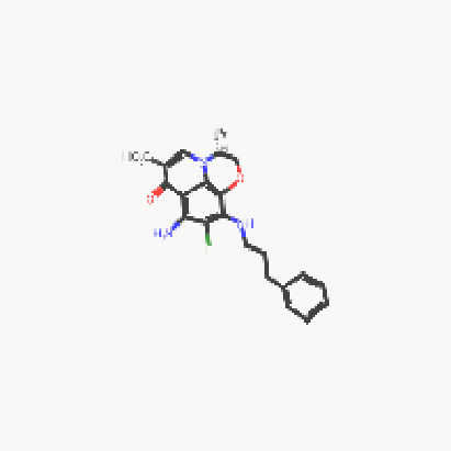 CC(C)[C@@H]1COc2c(NCCCc3ccccc3)c(F)c(N)c3c(=O)c(C(=O)O)cn1c23